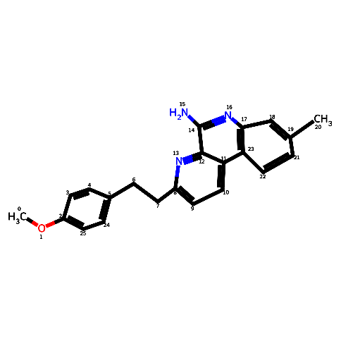 COc1ccc(CCc2ccc3c(n2)c(N)nc2cc(C)ccc23)cc1